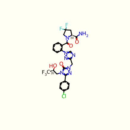 NC(=O)[C@@H]1CC(F)(F)CN1C(=O)c1ccccc1-n1cnc(Cn2nc(-c3ccc(Cl)cc3)n(C[C@H](O)C(F)(F)F)c2=O)n1